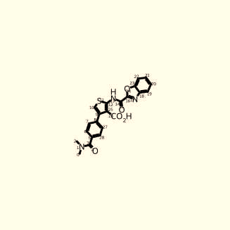 CN(C)C(=O)c1ccc(-c2csc(NC(=O)c3nc4ccccc4o3)c2C(=O)O)cc1